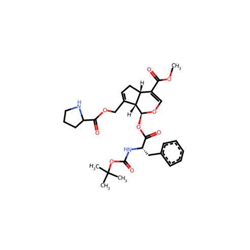 COC(=O)C1=CO[C@@H](OC(=O)[C@H](Cc2ccccc2)NC(=O)OC(C)(C)C)[C@@H]2C(COC(=O)C3CCCN3)=CC[C@H]12